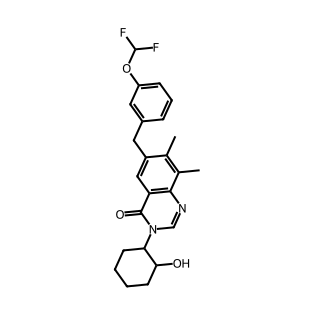 Cc1c(Cc2cccc(OC(F)F)c2)cc2c(=O)n(C3CCCCC3O)cnc2c1C